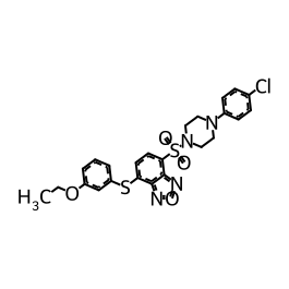 CCOc1cccc(Sc2ccc(S(=O)(=O)N3CCN(c4ccc(Cl)cc4)CC3)c3nonc23)c1